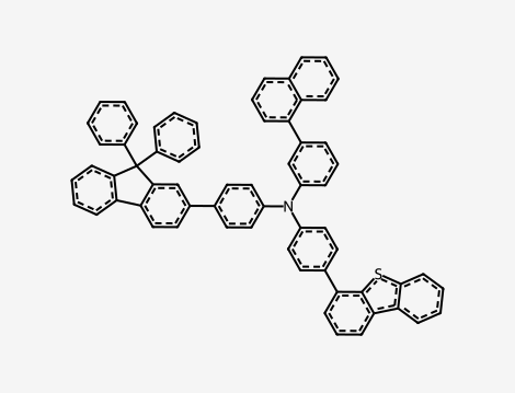 c1ccc(C2(c3ccccc3)c3ccccc3-c3ccc(-c4ccc(N(c5ccc(-c6cccc7c6sc6ccccc67)cc5)c5cccc(-c6cccc7ccccc67)c5)cc4)cc32)cc1